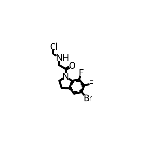 O=C(CNCCl)N1CCc2cc(Br)c(F)c(F)c21